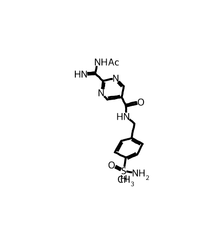 CC(=O)NC(=N)c1ncc(C(=O)NCc2ccc([SH](C)(N)=O)cc2)cn1